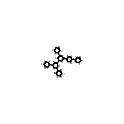 c1ccc(-c2ccc(-c3cc(-c4ccccc4)cc(-c4cc(-c5ccccc5)cc(-c5ccccc5)n4)c3)cc2)cc1